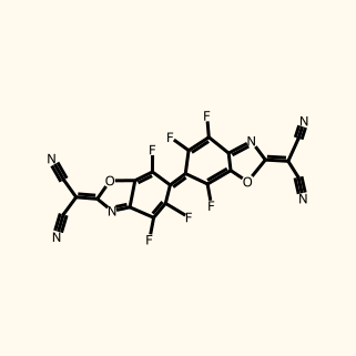 N#CC(C#N)=c1nc2c(F)c(F)/c(=c3/c(F)c(F)c4nc(=C(C#N)C#N)oc4c3F)c(F)c2o1